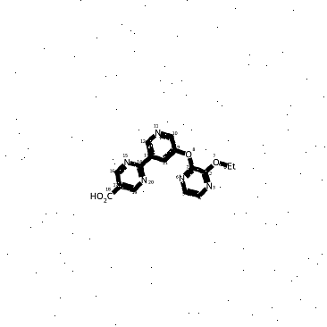 CCOc1nccnc1Oc1cncc(-c2ncc(C(=O)O)cn2)c1